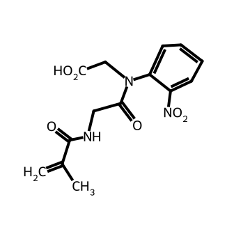 C=C(C)C(=O)NCC(=O)N(CC(=O)O)c1ccccc1[N+](=O)[O-]